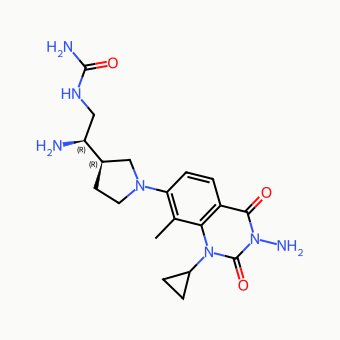 Cc1c(N2CC[C@@H]([C@@H](N)CNC(N)=O)C2)ccc2c(=O)n(N)c(=O)n(C3CC3)c12